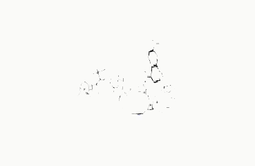 COc1ccc2c(O[C@@H]3C[C@H]4C(=O)N[C@]5(C(=O)O)CC5/C=C\CCCCC[C@H](NC(=O)OC(CN5CCN(C)S5(=O)=O)C(C)(C)C)C(=O)N4C3)cc(-c3csc(NC(C)C)n3)nc2c1